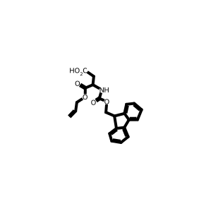 C=CCOC(=O)C(CC(=O)O)NC(=O)OCC1c2ccccc2-c2ccccc21